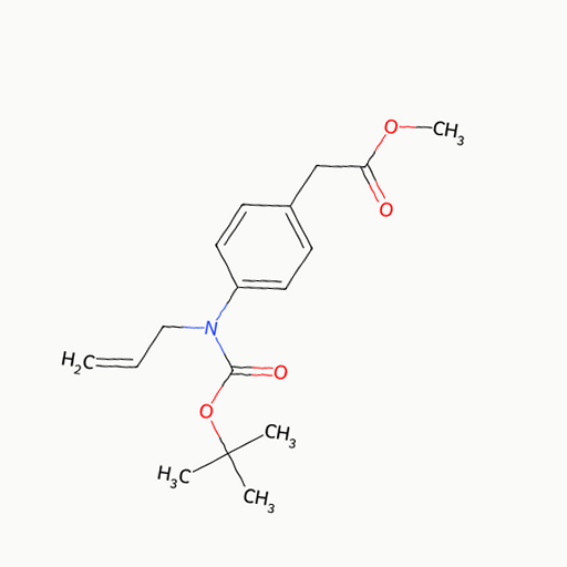 C=CCN(C(=O)OC(C)(C)C)c1ccc(CC(=O)OC)cc1